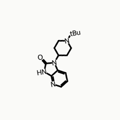 CC(C)(C)N1CCC(n2c(=O)[nH]c3ncccc32)CC1